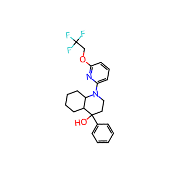 OC1(c2ccccc2)CCN(c2cccc(OCC(F)(F)F)n2)C2CCCCC21